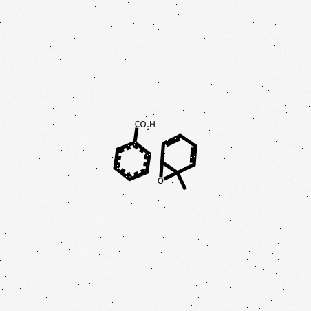 CC12C=CC=CC1O2.O=C(O)c1ccccc1